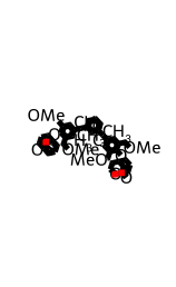 COCc1cc(C(C)(C)c2cccc(C(C)(C)c3cc(COC)c(OC45CC6CC(C4)OC(=O)C(C6)C5)c(COC)c3)c2)cc(COC)c1OC12CC3CC(C1)OC(=O)C(C3)C2